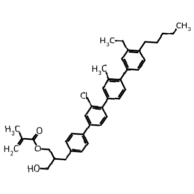 C=C(C)C(=O)OCC(CO)Cc1ccc(-c2ccc(-c3ccc(-c4ccc(CCCCC)c(CC)c4)c(C)c3)c(Cl)c2)cc1